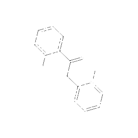 O=C(Cc1cccc[n+]1[O-])c1ccccc1O